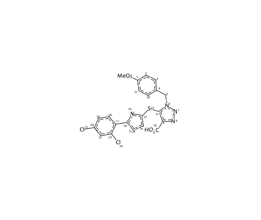 COc1ccc(Cn2nnc(C(=O)O)c2Sc2csc(-c3ccc(Cl)cc3Cl)n2)cc1